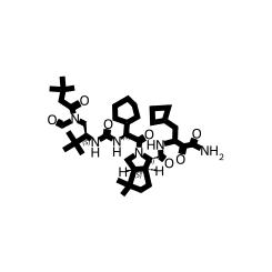 CC(C)(C)CC(=O)N(C=O)C[C@@H](NC(=O)N[C@H](C(=O)N1C[C@H]2[C@H](CCC2(C)C)[C@H]1C(=O)NC(CC1CCC1)C(=O)C(N)=O)C1CCCCC1)C(C)(C)C